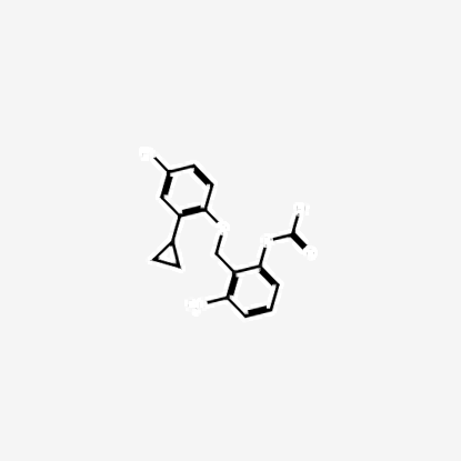 CCC(=O)Oc1cccc(C(F)(F)F)c1COc1ccc(CC)cc1C1CC1